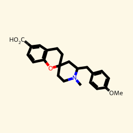 COc1ccc(CC2CC3(CCc4cc(C(=O)O)ccc4O3)CCN2C)cc1